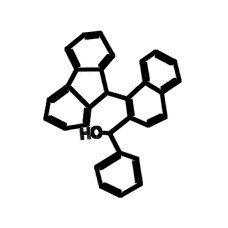 OC(c1ccccc1)c1ccc2ccccc2c1C1c2ccccc2-c2ccccc21